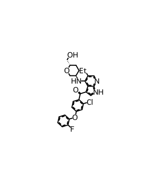 CCc1cnc2[nH]cc(C(=O)c3ccc(Oc4ccccc4F)cc3Cl)c2c1N[C@@H]1CC[C@@H](CO)OC1